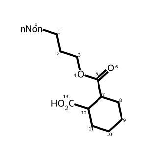 CCCCCCCCCCCCOC(=O)C1CCCCC1C(=O)O